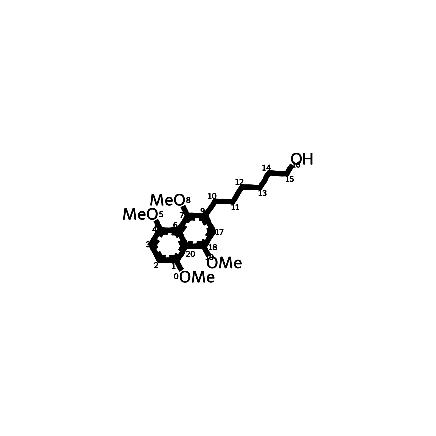 COc1ccc(OC)c2c(OC)c(CCCCCCO)cc(OC)c12